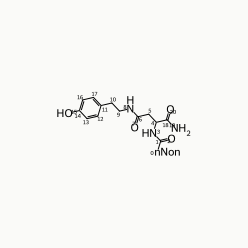 CCCCCCCCCC(=O)NC(CC(=O)NCCc1ccc(O)cc1)C(N)=O